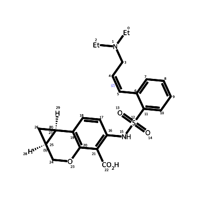 CCN(CC)C/C=C\c1ccccc1S(=O)(=O)Nc1ccc2c(c1C(=O)O)OC[C@H]1C[C@@H]21